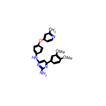 COc1ccc(-c2cc(Nc3ccc(Oc4ccnc(C)c4)cc3)nc(N)n2)cc1OC